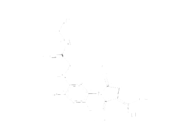 CC(C)=C1CC(=O)N(c2cc(NCC(=O)NCC(C)C)c(Cl)cc2F)C1=O